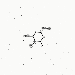 CCCC[C@H]1C[C@H](NCC)CC(C)N1O